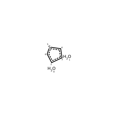 O.O.c1ccsc1